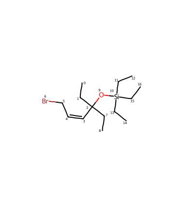 CCC(/C=C\CBr)(CC)O[Si](CC)(CC)CC